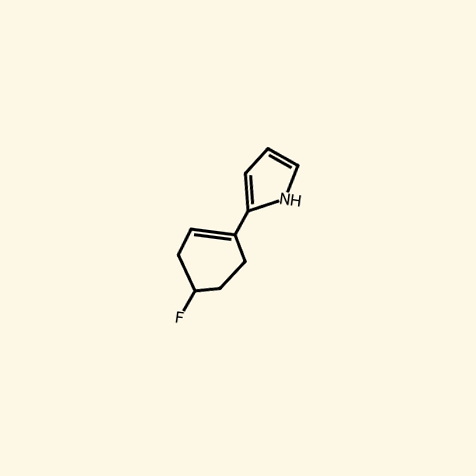 FC1CC=C(c2ccc[nH]2)CC1